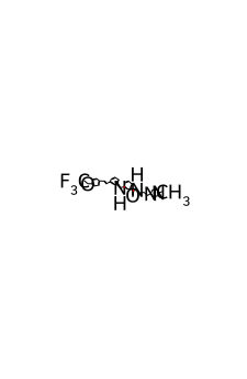 CN1CCN(CCCNC(=O)c2cccc(Nc3cccc(/C=C/c4ccc(OC(F)(F)F)cc4)c3)c2)CC1